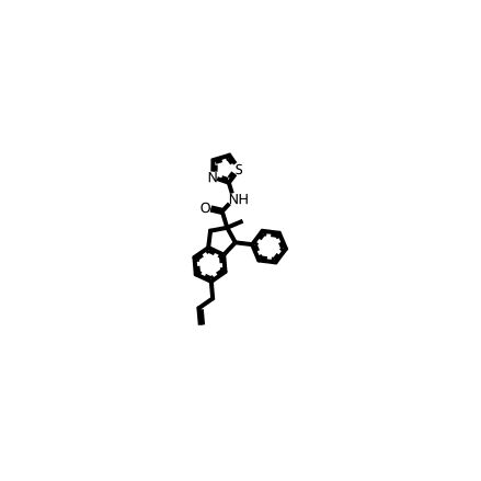 C=CCc1ccc2c(c1)C(c1ccccc1)C(C)(C(=O)Nc1nccs1)C2